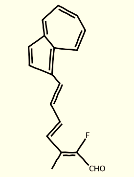 CC(C=CC=Cc1ccc2cccccc1-2)=C(F)C=O